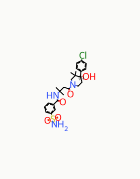 CC(C)(CC(=O)N1CC[C@](O)(c2ccc(Cl)cc2)C(C)(C)C1)NC(=O)c1cccc(S(N)(=O)=O)c1